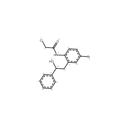 O=C(CCl)Nc1ccc(Br)cc1CC(O)c1ccccc1